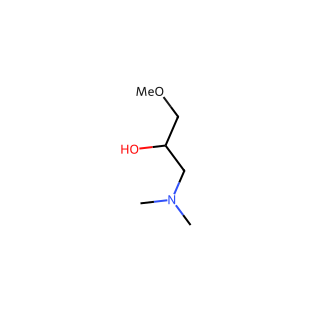 COCC(O)CN(C)C